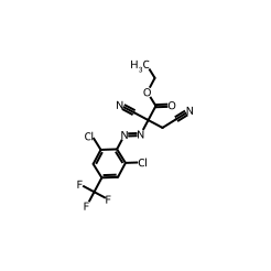 CCOC(=O)C(C#N)(CC#N)N=Nc1c(Cl)cc(C(F)(F)F)cc1Cl